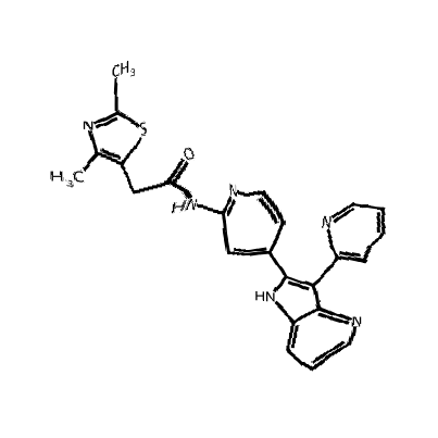 Cc1nc(C)c(CC(=O)Nc2cc(-c3[nH]c4cccnc4c3-c3ccccn3)ccn2)s1